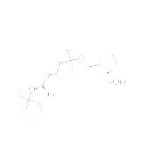 CCC(C)(O)CCOC(C)(C)CCOC(=O)OC(C)(CC)CC